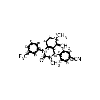 C=C1C2=C(CCN1C)N(c1cccc(C(F)(F)F)c1)C(=O)N(C)[C@@H]2c1ccc(C#N)cc1